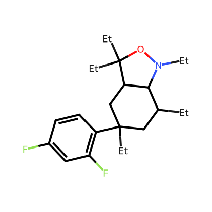 CCC1CC(CC)(c2ccc(F)cc2F)CC2C1N(CC)OC2(CC)CC